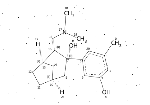 Cc1cc(O)cc([C@@]2(O)C[C@H]3CC[C@H](C3)[C@@H]2CN(C)C)c1